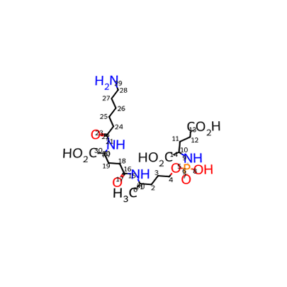 C[C@H](CCCOP(=O)(O)NC(CCC(=O)O)C(=O)O)NC(=O)CC[C@H](NC(=O)CCCCCN)C(=O)O